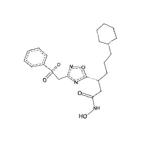 O=C(CC(CCCC1CCCCC1)c1nc(CS(=O)(=O)c2ccccc2)no1)NO